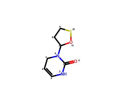 O=C1NC=CCN1C1CCSO1